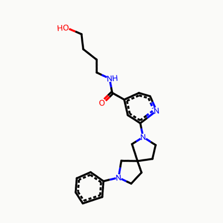 O=C(NCCCCO)c1ccnc(N2CCC3(CCN(c4ccccc4)C3)C2)c1